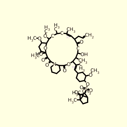 C=CCC1/C=C(/C)CC(C)CC(OC)C2OC(O)(C(=O)C(=O)N3CCCCC3C(=O)OC(/C(C)=C/C3CCC(OS(=O)(=O)C4C(=O)C5(C)CCC4C5(C)C)C(OC)C3)C(C)C(O)CC1=O)C(C)CC2OC